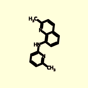 Cc1cccc(Nc2cccc3ccc(C)nc23)n1